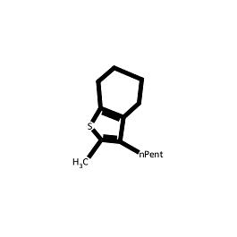 CCCCCc1c(C)sc2c1CCCC2